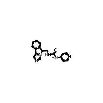 O=C(NCC1c2ccccc2-c2cncn21)Nc1ccncc1